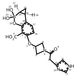 O=C(O)c1c(OC2CN(C(=O)Cc3c[nH]cn3)C2)ccc2c1O[B-](O)(O)[C@H]1C[C@@H]21